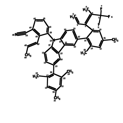 C=C/C(=C(\C)C(F)(F)F)c1cc(C)cc(C)c1-c1ccc2c(c1)c1cc(-c3c(C)cc(C)cc3C)ccc1n2-c1cccc(C#N)c1/C=C/C